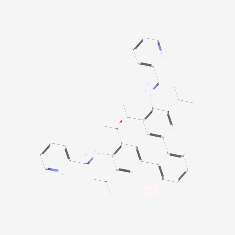 Cc1ccc(O)c(-c2cc(C(C)C)c(/N=C/c3ccccn3)c(C(C)C)c2)c1-c1cc(C(C)C)c(/N=C/c2ccccn2)c(C(C)C)c1